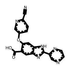 N#Cc1ccc(Oc2cc3[nH]c(-c4cnccn4)nc3cc2C(=O)O)cn1